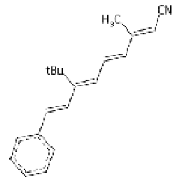 CC(/C=C/C=C(/C=C/c1ccccc1)C(C)(C)C)=C\C#N